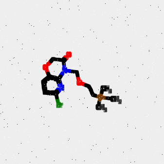 CS(C)(C)CCOCN1C(=O)COc2ccc(Br)nc21